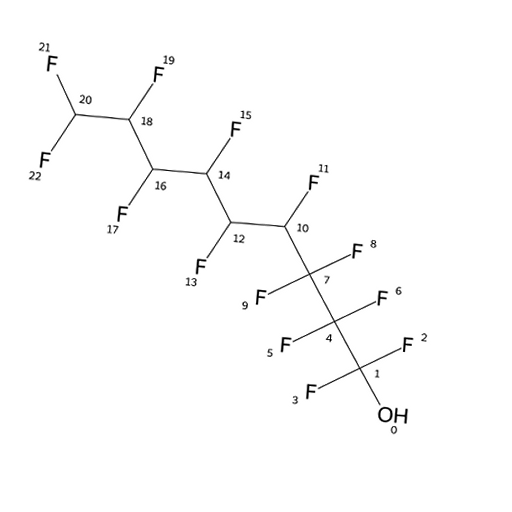 OC(F)(F)C(F)(F)C(F)(F)C(F)C(F)C(F)C(F)C(F)C(F)F